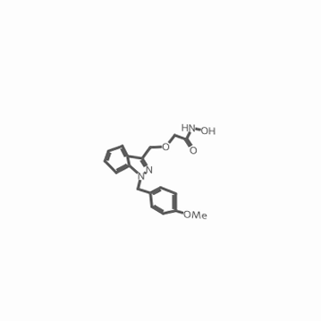 COc1ccc(Cn2nc(COCC(=O)NO)c3ccccc32)cc1